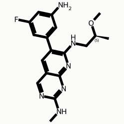 CNc1ncc2cc(-c3cc(N)cc(F)c3)c(NC[C@H](C)OC)nc2n1